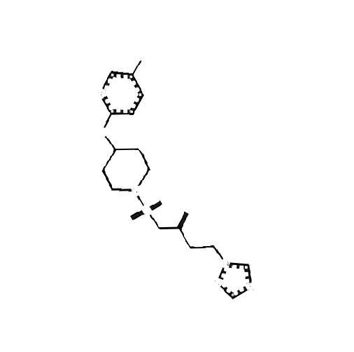 O=C(CCn1cncn1)CS(=O)(=O)N1CCC(Oc2ccc(Cl)cn2)CC1